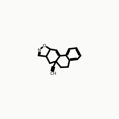 C#CC12CCc3ccccc3C1=CC1ON=CC1C2